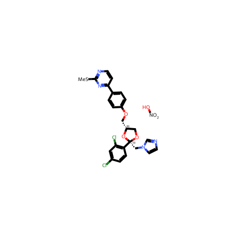 CSc1nccc(-c2ccc(OC[C@@H]3CO[C@@](Cn4ccnc4)(c4ccc(Cl)cc4Cl)O3)cc2)n1.O=[N+]([O-])O